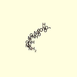 C=CCOC(=O)Nc1ccc2c(ccn2C(=O)c2cc(NC(=O)c3cc(NC(=O)c4nc(N)cn4C)cn3C)cn2C)c1